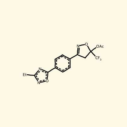 CCc1noc(-c2ccc(C3=NOC(OC(C)=O)(C(F)(F)F)C3)cc2)n1